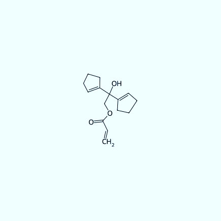 C=CC(=O)OCC(O)(C1=CCCC1)C1=CCCC1